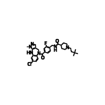 Cn1ncc2c1Nc1cc(Cl)ccc1N(C(=O)c1ccc(CNC(=O)C3CCN(CCC(C)(C)C)CC3)c(F)c1)C2